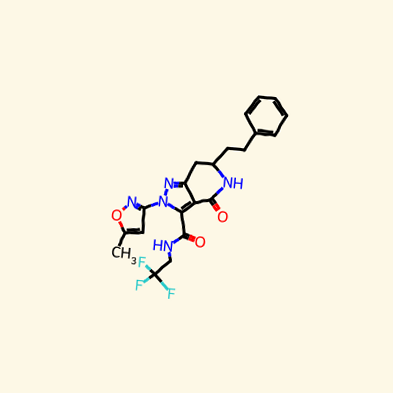 Cc1cc(-n2nc3c(c2C(=O)NCC(F)(F)F)C(=O)NC(CCc2ccccc2)C3)no1